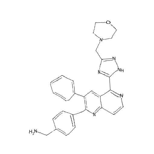 NCc1ccc(-c2nc3ccnc(-c4nc(CN5CCOCC5)n[nH]4)c3cc2-c2ccccc2)cc1